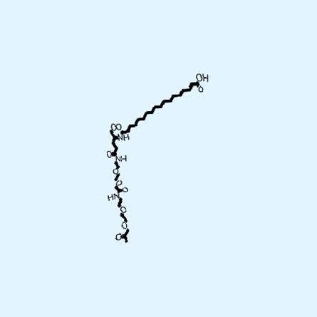 CC(=O)COCCOCCNC(=O)COCCOCCNC(=O)CCC(C=O)NC(=O)CCCCCCCCCCCCCCCCC(=O)O